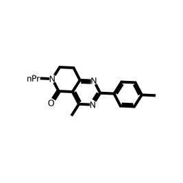 CCCN1CCc2nc(-c3ccc(C)cc3)nc(C)c2C1=O